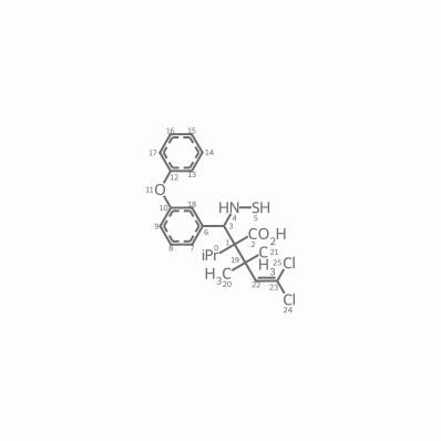 CC(C)C(C(=O)O)(C(NS)c1cccc(Oc2ccccc2)c1)C(C)(C)C=C(Cl)Cl